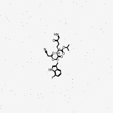 CC(C)OC(=O)[C@H](CCC(=O)C=N)NC(=O)[C@H](Cc1c[nH]c2c(F)cccc12)OC(=O)CC#N